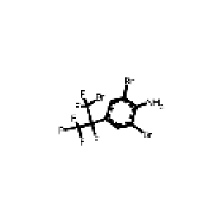 Nc1c(Br)cc(C(F)(C(F)(F)F)C(F)(F)Br)cc1Br